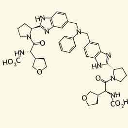 O=C(O)N[C@H](C(=O)N1CCC[C@H]1c1nc2cc(CN(Cc3ccc4[nH]c([C@@H]5CCCN5C(=O)[C@@H](NC(=O)O)[C@H]5CCOC5)nc4c3)c3ccccc3)ccc2[nH]1)[C@H]1CCOC1